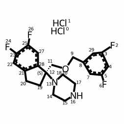 Cl.Cl.Fc1cc(F)cc(COC[C@]2(N3CCNCC3)CCc3cc(F)c(F)cc32)c1